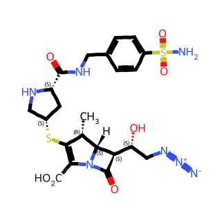 C[C@H]1C(S[C@@H]2CN[C@H](C(=O)NCc3ccc(S(N)(=O)=O)cc3)C2)=C(C(=O)O)N2C(=O)[C@H]([C@H](O)CN=[N+]=[N-])[C@@H]12